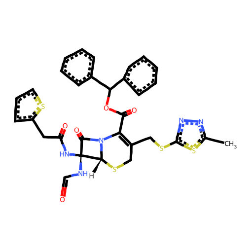 Cc1nnc(SCC2=C(C(=O)OC(c3ccccc3)c3ccccc3)N3C(=O)[C@@](NC=O)(NC(=O)Cc4cccs4)[C@H]3SC2)s1